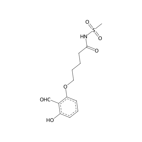 CS(=O)(=O)NC(=O)CCCCOc1cccc(O)c1C=O